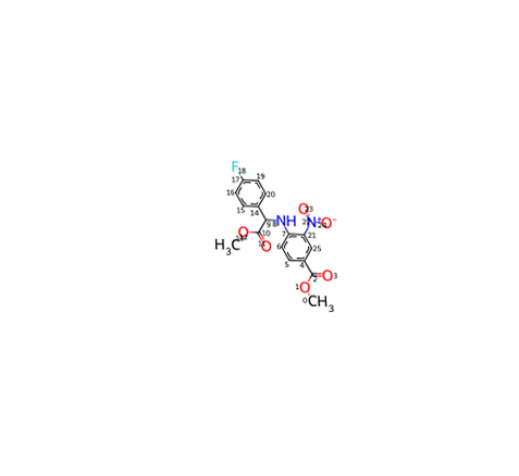 COC(=O)c1ccc(NC(C(=O)OC)c2ccc(F)cc2)c([N+](=O)[O-])c1